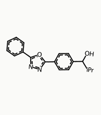 CC(C)C(O)c1ccc(-c2nnc(-c3ccccc3)o2)cc1